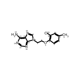 Cc1ccc(OCCn2cnc3c(N)ncnc32)c(Cl)c1